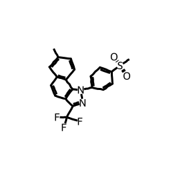 Cc1ccc2c(ccc3c(C(F)(F)F)nn(-c4ccc(S(C)(=O)=O)cc4)c32)c1